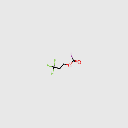 O=C(I)OCCC(F)(F)F